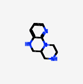 c1cnc2c(c1)NCC1CNCCN21